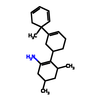 CC1CC(N)=C(C2CCC=C(C3(C)C=CC=CC3)C2)C(C)C1